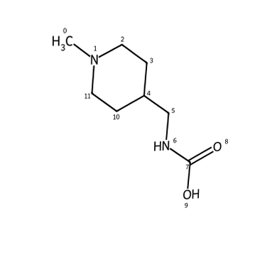 CN1CCC(CNC(=O)O)CC1